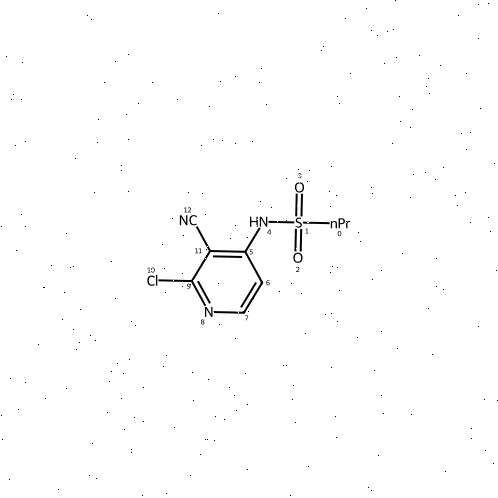 CCCS(=O)(=O)Nc1ccnc(Cl)c1C#N